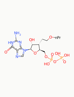 CCCOCC[C@H]1[C@@H](O)[C@H](n2cnc3c(=O)[nH]c(N)nc32)O[C@@H]1COP(=O)(O)OP(=O)(O)O